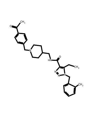 CCc1c(C(=O)NCC2CCN(Cc3ccc(C(C)=O)cc3)CC2)nnn1Cc1ccccc1C